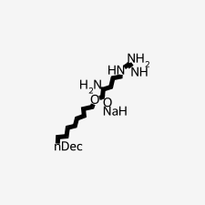 CCCCCCCCCCCCCCCCCCOC(=O)[C@@H](N)CCCNC(=N)N.[NaH]